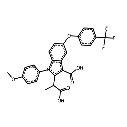 COc1ccc(-n2c(C(C)C(=O)O)c(C(=O)O)c3cc(Oc4ccc(C(F)(F)F)cc4)ccc32)cc1